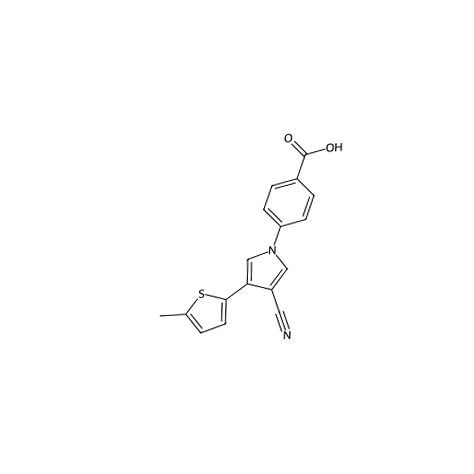 Cc1ccc(-c2cn(-c3ccc(C(=O)O)cc3)cc2C#N)s1